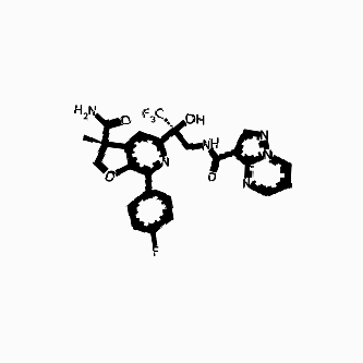 C[C@]1(C(N)=O)COc2c1cc([C@@](O)(CNC(=O)c1cnn3cccnc13)C(F)(F)F)nc2-c1ccc(F)cc1